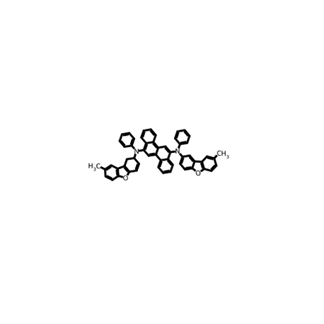 Cc1ccc2oc3c(c2c1)CC(N(c1ccccc1)c1cc2c4ccccc4c(N(c4ccccc4)c4ccc5oc6ccc(C)cc6c5c4)cc2c2ccccc12)C=C3